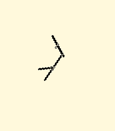 CCCCCCCCCOC(=O)CCCCCCCN(CC)CCCCCCCCCOP(OCCCCCCCCC)OCCCCCCCCC